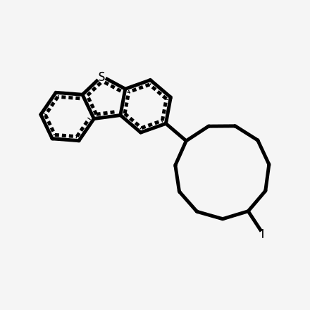 IC1CCCCCC(c2ccc3sc4ccccc4c3c2)CCCC1